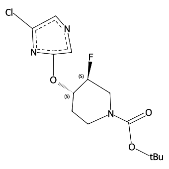 CC(C)(C)OC(=O)N1CC[C@H](Oc2cncc(Cl)n2)[C@@H](F)C1